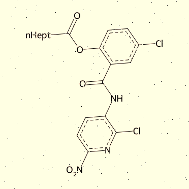 CCCCCCCC(=O)Oc1ccc(Cl)cc1C(=O)Nc1ccc([N+](=O)[O-])nc1Cl